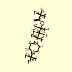 C=C(OC(F)(F)C(F)(F)C(F)(F)N1CCN(C(F)(F)F)CC1)C(F)(F)F